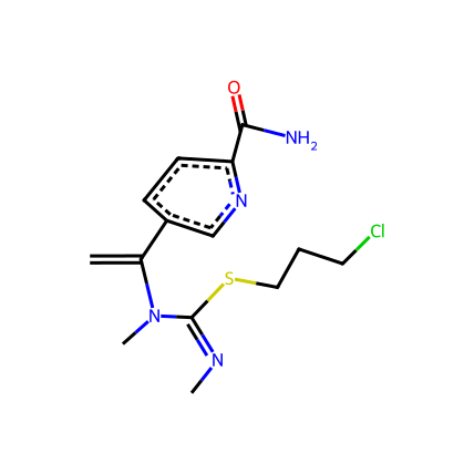 C=C(c1ccc(C(N)=O)nc1)N(C)/C(=N\C)SCCCCl